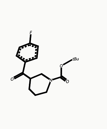 CC(C)(C)OC(=O)N1CCCC(C(=O)c2ccc(F)cc2)C1